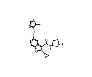 Cc1ncsc1COc1ccc2oc(C3CC3)c(C(=O)NC3CCNC3)c2c1